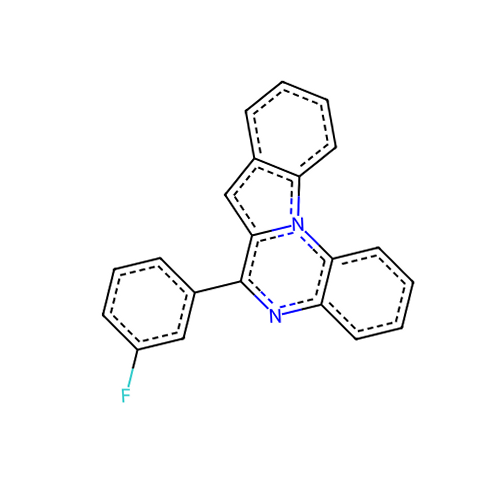 Fc1cccc(-c2nc3ccccc3n3c2cc2ccccc23)c1